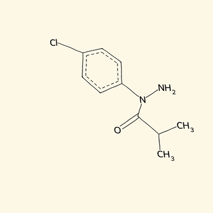 CC(C)C(=O)N(N)c1ccc(Cl)cc1